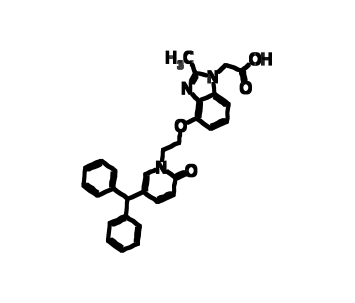 Cc1nc2c(OCCn3cc(C(c4ccccc4)c4ccccc4)ccc3=O)cccc2n1CC(=O)O